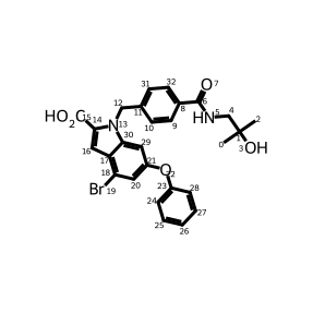 CC(C)(O)CNC(=O)c1ccc(Cn2c(C(=O)O)cc3c(Br)cc(Oc4ccccc4)cc32)cc1